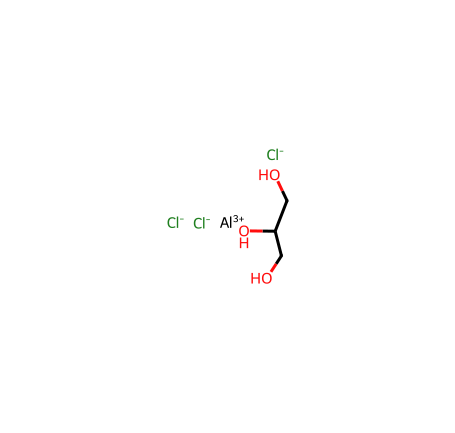 OCC(O)CO.[Al+3].[Cl-].[Cl-].[Cl-]